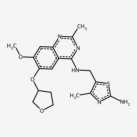 COc1cc2nc(C)nc(NCc3sc(N)nc3C)c2cc1OC1CCOC1